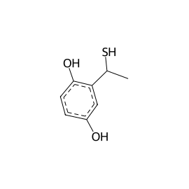 CC(S)c1cc(O)ccc1O